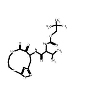 CC(C)C(NC(=O)OCC(C)(C)C)C(=O)NC1Cc2cc(sn2)CCCCNC(=O)C1=O